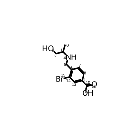 CC(CO)NCc1ccc(C(=O)O)cc1Br